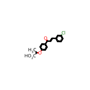 CC(Oc1ccc(C(=O)C=Cc2cccc(Cl)c2)cc1)C(=O)O